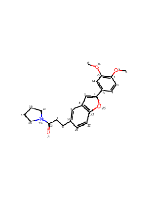 COc1ccc(-c2cc3cc(CCC(=O)N4CCCC4)ccc3o2)cc1OC